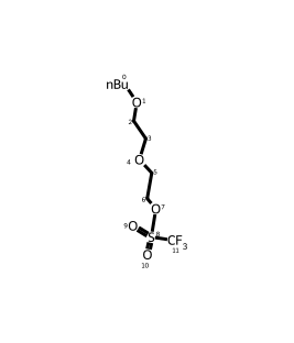 CCCCOCCOCCOS(=O)(=O)C(F)(F)F